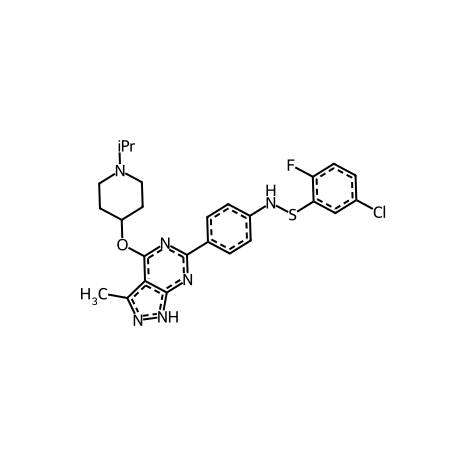 Cc1n[nH]c2nc(-c3ccc(NSc4cc(Cl)ccc4F)cc3)nc(OC3CCN(C(C)C)CC3)c12